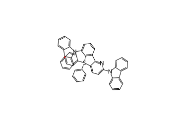 c1ccc(S2(c3ccccc3)c3ccc(-n4c5ccccc5c5ccccc54)nc3-c3cccc(-n4c5ccccc5c5ccccc54)c32)cc1